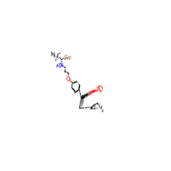 CCC(=O)c1ccc(OCCCNC(C)S)cc1